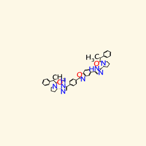 CC(C(=O)N1CCC[C@H]1c1ncc(-c2ccc3oc(-c4ccc(-c5cnc([C@@H]6CCCN6C(=O)[C@H](C)c6ccccc6)[nH]5)cc4)nc3c2)[nH]1)c1ccccc1